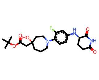 CC(C)(C)OC(=O)C[C@@]1(O)CCCN(c2ccc(N[C@@H]3CCC(=O)NC3=O)cc2F)CC1